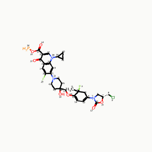 CC1(F)CC(N2C[C@H](CCl)OC2=O)=CC=C1OCC1(O)CCN(c2cc3c(cc2F)c(=O)c(C(=O)OP)cn3C2CC2)CC1